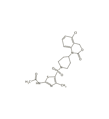 CC(=O)Nc1nc(C)c(S(=O)(=O)N2CCC(N3C(=O)OCc4c(Cl)cccc43)CC2)s1